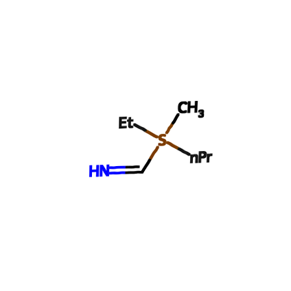 CCCS(C)(C=N)CC